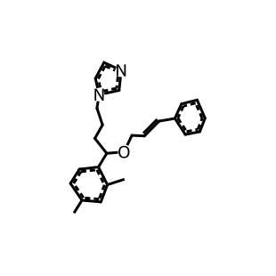 Cc1ccc(C(CCCn2ccnc2)OC/C=C/c2ccccc2)c(C)c1